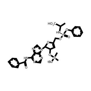 CC(N[P@](=O)(OCC1=CC(O[Si](C)(C)C(C)(C)C)C(n2cnc3c(NC(=O)c4ccccc4)ncnc32)O1)Oc1ccccc1)C(=O)O